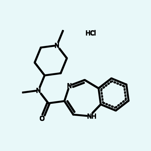 CN1CCC(N(C)C(=O)C2=CNc3ccccc3C=N2)CC1.Cl